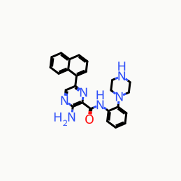 Nc1ncc(-c2cccc3ccccc23)nc1C(=O)Nc1ccccc1N1CCNCC1